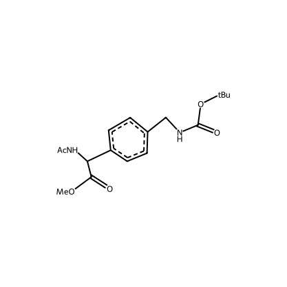 COC(=O)C(NC(C)=O)c1ccc(CNC(=O)OC(C)(C)C)cc1